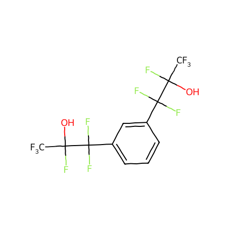 OC(F)(C(F)(F)F)C(F)(F)c1cccc(C(F)(F)C(O)(F)C(F)(F)F)c1